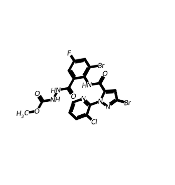 COC(=O)NNC(=O)c1cc(F)cc(Br)c1NC(=O)c1cc(Br)nn1-c1ncccc1Cl